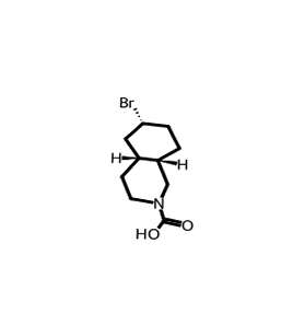 O=C(O)N1CC[C@@H]2C[C@H](Br)CC[C@@H]2C1